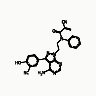 C=C(C#N)C(=O)N(CCn1nc(-c2ccc(O)c(C#N)c2)c2c(N)ncnc21)c1ccccc1